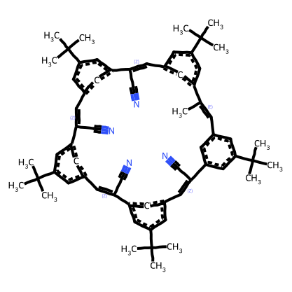 C/C1=C\c2cc(cc(C(C)(C)C)c2)/C(C#N)=C/c2cc(cc(C(C)(C)C)c2)/C(C#N)=C/c2cc(cc(C(C)(C)C)c2)/C(C#N)=C/c2cc(cc(C(C)(C)C)c2)/C(C#N)=C/c2cc1cc(C(C)(C)C)c2